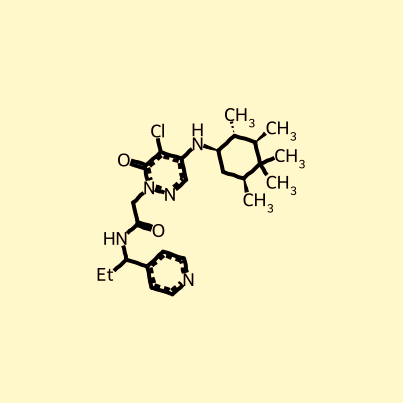 CCC(NC(=O)Cn1ncc(N[C@@H]2C[C@H](C)C(C)(C)[C@H](C)[C@H]2C)c(Cl)c1=O)c1ccncc1